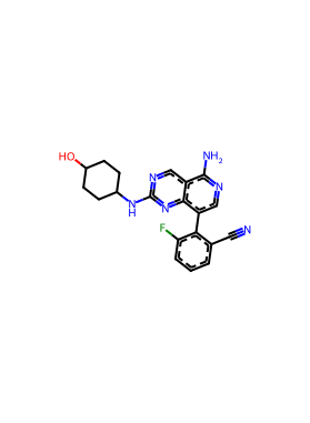 N#Cc1cccc(F)c1-c1cnc(N)c2cnc(NC3CCC(O)CC3)nc12